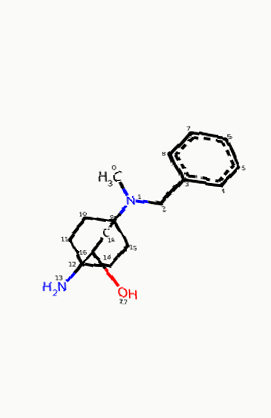 CN(Cc1ccccc1)C12CCC(N)(CC1)C(O)C2